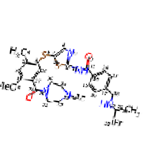 COc1cc(C)c(Sc2cnc(NC(=O)c3ccc(CNC(C)C(C)C)cc3)s2)cc1C(=O)N1CCN(C(C)=O)CC1